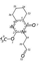 COc1nc2c(c(=O)n1CCC=O)CCCC2